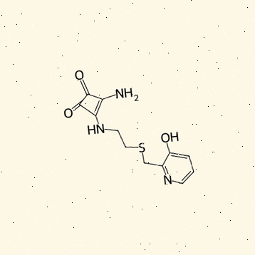 Nc1c(NCCSCc2ncccc2O)c(=O)c1=O